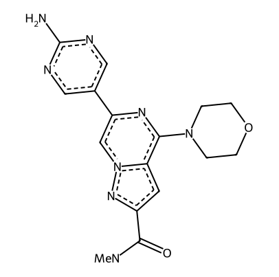 CNC(=O)c1cc2c(N3CCOCC3)nc(-c3cnc(N)nc3)cn2n1